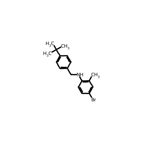 Cc1cc(Br)ccc1NCc1ccc(C(C)(C)C)cc1